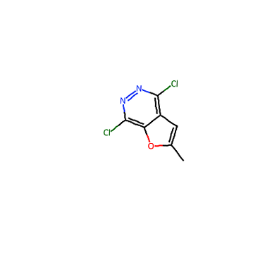 Cc1cc2c(Cl)nnc(Cl)c2o1